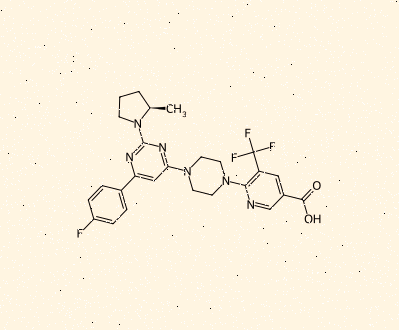 C[C@@H]1CCCN1c1nc(-c2ccc(F)cc2)cc(N2CCN(c3ncc(C(=O)O)cc3C(F)(F)F)CC2)n1